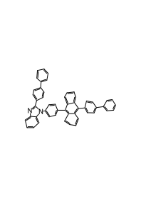 c1ccc(-c2ccc(-c3c4ccccc4c(-c4ccc(-n5c(-c6ccc(-c7ccccc7)cc6)nc6ccccc65)cc4)c4ccccc34)cc2)cc1